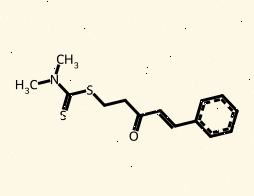 CN(C)C(=S)SCCC(=O)C=Cc1ccccc1